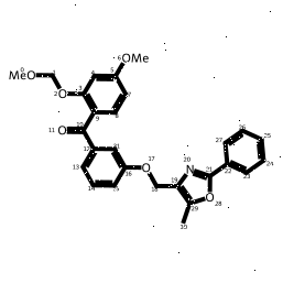 COCOc1cc(OC)ccc1C(=O)c1cccc(OCc2nc(-c3ccccc3)oc2C)c1